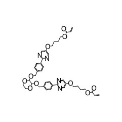 C=CC(=O)OCCCCOc1cnc(-c2ccc(COC3OCCOC3OCc3ccc(-c4ncc(OCCCCOC(=O)C=C)cn4)cc3)cc2)nc1